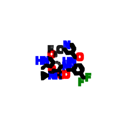 C[C@@H]1C[C@@H](C[C@H](NC(=O)c2cc(C(F)F)ccc2NC(=O)c2ccnc(C(F)(F)F)c2)C(=O)C(=O)NC2CC2)C(=O)N1